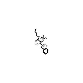 CCCCOC(=O)C(OS(C)(=O)=O)[C@H](O)[C@@H](N)Cc1ccccc1